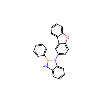 c1ccc(P2Nc3ccccc3N2c2ccc3oc4ccccc4c3c2)cc1